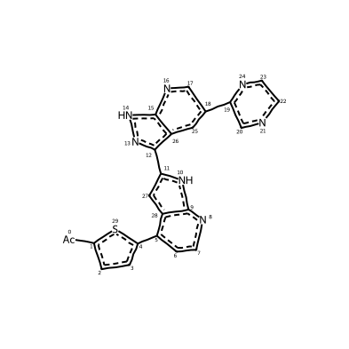 CC(=O)c1ccc(-c2ccnc3[nH]c(-c4n[nH]c5ncc(-c6cnccn6)cc45)cc23)s1